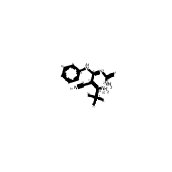 C=C(N)/N=C(Nc1ccccc1)\C(C#N)=C(/N)C(C)(C)C